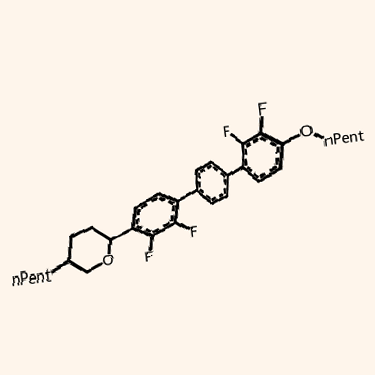 CCCCCOc1ccc(-c2ccc(-c3ccc(C4CCC(CCCCC)CO4)c(F)c3F)cc2)c(F)c1F